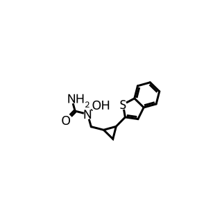 NC(=O)N(O)CC1CC1c1cc2ccccc2s1